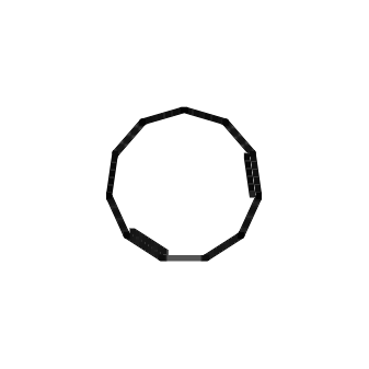 C1=CCCCCCC=CCC1